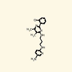 Cc1nc(-c2ccccc2Cl)nc(NCCCNc2ccc(N)cn2)c1C